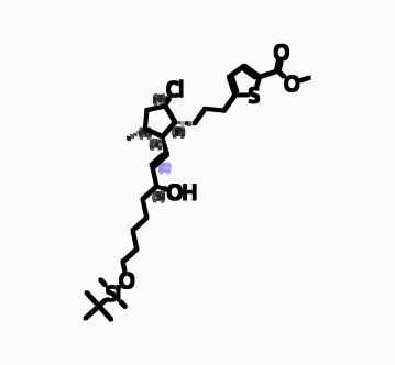 COC(=O)c1ccc(CCC[C@@H]2[C@@H](/C=C/[C@@H](O)CCCCCO[Si](C)(C)C(C)(C)C)[C@H](C)C[C@H]2Cl)s1